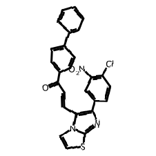 O=C(C=Cc1c(-c2ccc(Cl)c([N+](=O)[O-])c2)nc2sccn12)c1ccc(-c2ccccc2)cc1